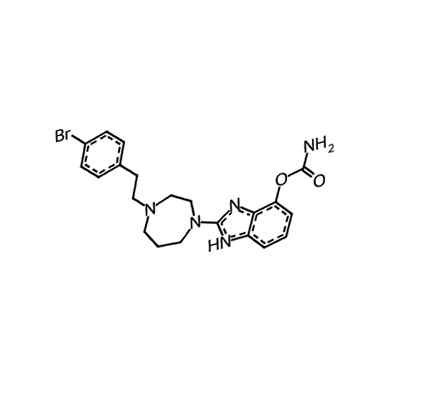 NC(=O)Oc1cccc2[nH]c(N3CCCN(CCc4ccc(Br)cc4)CC3)nc12